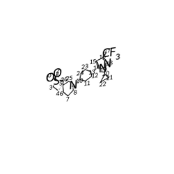 O=S1(=O)CC[C@]2(CCCN([C@H]3CC[C@@H](c4cc(C(F)(F)F)nn4C4CC4)CC3)C2)C1